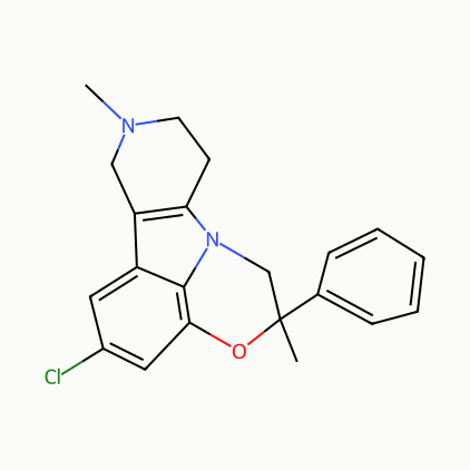 CN1CCc2c(c3cc(Cl)cc4c3n2CC(C)(c2ccccc2)O4)C1